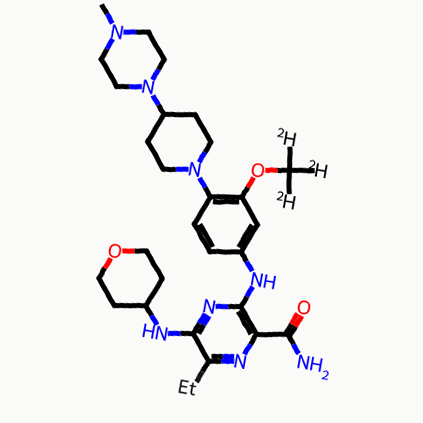 [2H]C([2H])([2H])Oc1cc(Nc2nc(NC3CCOCC3)c(CC)nc2C(N)=O)ccc1N1CCC(N2CCN(C)CC2)CC1